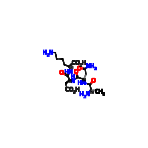 C[C@H](N)C(=O)N[C@@H](CC(N)=O)C(=O)N[C@@H](CC(=O)O)C(=O)N[C@@H](CCCCN)C(=O)O